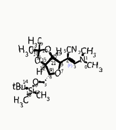 CN(C)/C=C(\C#N)C1O[C@H](CO[Si](C)(C)C(C)(C)C)[C@H]2OC(C)(C)O[C@@H]12